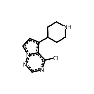 Clc1ncnn2ccc(C3CCNCC3)c12